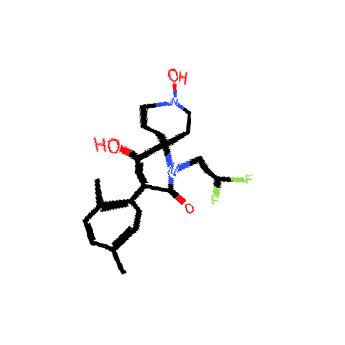 Cc1ccc(C)c(C2=C(O)C3(CCN(O)CC3)N(CC(F)F)C2=O)c1